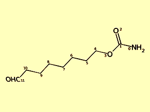 NC(=O)OCCCCCCCC=O